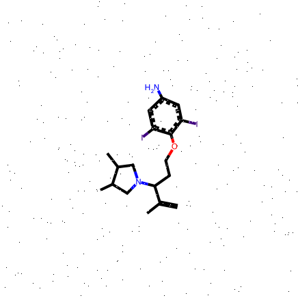 C=C(C)C(CCOc1c(I)cc(N)cc1I)N1CC(C)C(C)C1